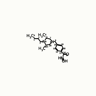 CCCCN1[C@H](C)CN(Cc2ccc(C(=O)NO)cc2)C[C@@H]1C